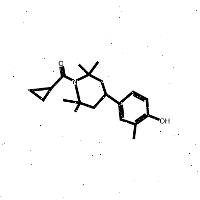 Cc1cc(C2CC(C)(C)N(C(=O)C3CC3)C(C)(C)C2)ccc1O